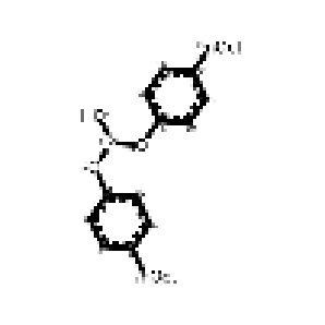 CCCCCCCCc1ccc(OP(O)Oc2ccc(CCCCCCCC)cc2)cc1